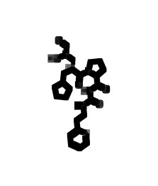 O=CN(O)C[C@@H](CC1CCCC1)C(=O)N1CCCC1C(=O)NC(=O)NCCc1ccccn1